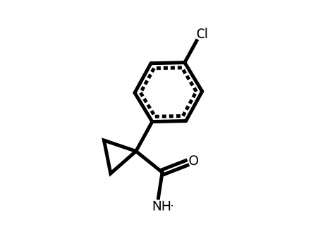 [NH]C(=O)C1(c2ccc(Cl)cc2)CC1